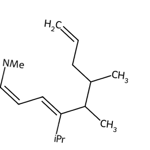 C=CCC(C)C(C)/C(=C/C=C\NC)C(C)C